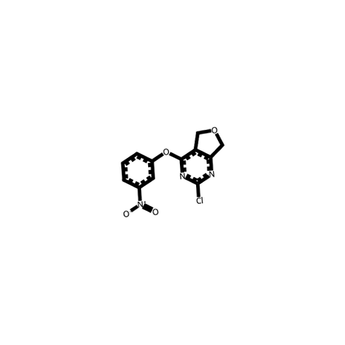 O=[N+]([O-])c1cccc(Oc2nc(Cl)nc3c2COC3)c1